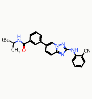 C[C@H](NC(=O)c1cccc(-c2ccc3nc(Nc4ccccc4C#N)nn3c2)c1)C(C)(C)C